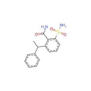 CC(c1ccccc1)c1cccc(S(N)(=O)=O)c1C(N)=O